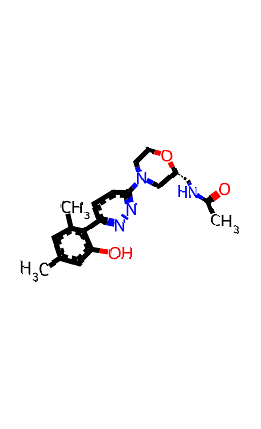 CC(=O)NC[C@@H]1CN(c2ccc(-c3c(C)cc(C)cc3O)nn2)CCO1